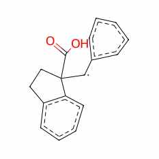 O=C(O)C1([CH]c2ccccc2)CCc2ccccc21